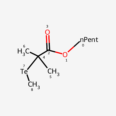 CCCCCOC(=O)C(C)(C)[Te]C